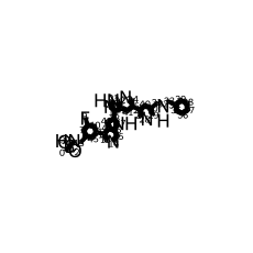 CS(=O)(=O)NCc1cc(F)cc(-c2cncc3[nH]c(-c4n[nH]c5ncc(-c6cncc(CNCc7ccccc7)c6)cc45)cc23)c1